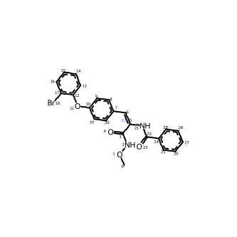 CONC(=O)/C(=C\c1ccc(Oc2ccccc2Br)cc1)NC(=O)c1ccccc1